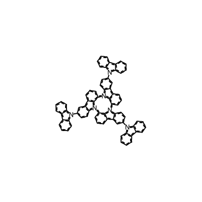 c1ccc2c(c1)c1ccccc1n2-c1ccc2c(c1)c1cccc3c1n2c1cccc2c4cc(-n5c6ccccc6c6ccccc65)ccc4n(c4cccc5c6cc(-n7c8ccccc8c8ccccc87)ccc6n3c54)c21